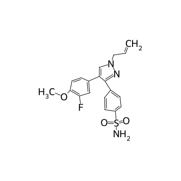 C=CCn1cc(-c2ccc(OC)c(F)c2)c(-c2ccc(S(N)(=O)=O)cc2)n1